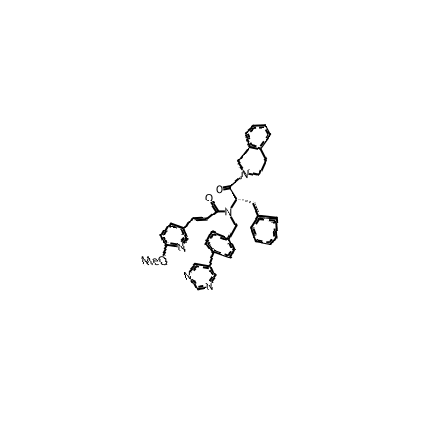 COc1ccc(C=CC(=O)N(Cc2ccc(-c3cncnc3)cc2)[C@@H](Cc2ccccc2)C(=O)N2CCc3ccccc3C2)cn1